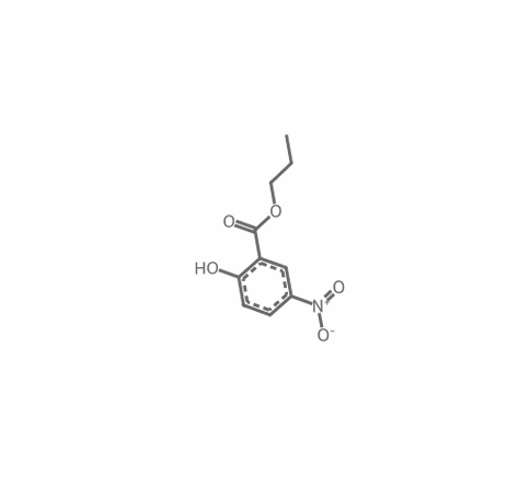 CCCOC(=O)c1cc([N+](=O)[O-])ccc1O